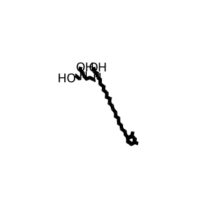 Cc1ccc(CCCCCCCCCCCCCCCCCCN(CCO)CCCN(CCO)CCO)c(C)c1